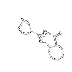 O=c1cc(-c2ccoc2)oc2ccccc12